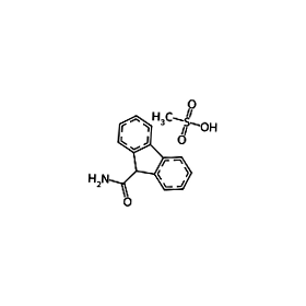 CS(=O)(=O)O.NC(=O)C1c2ccccc2-c2ccccc21